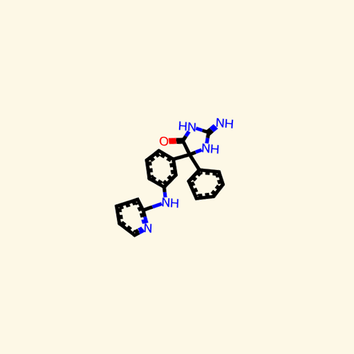 N=C1NC(=O)C(c2ccccc2)(c2cccc(Nc3ccccn3)c2)N1